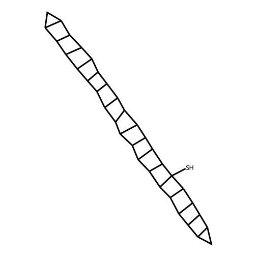 SC12C3C4C5C6CC6C5C4C3C1C1C3C4C5C6C7C8C9C%10C%11C%12C%13CC%13C%12C%11C%10C9C8C7C6C5C4C3C12